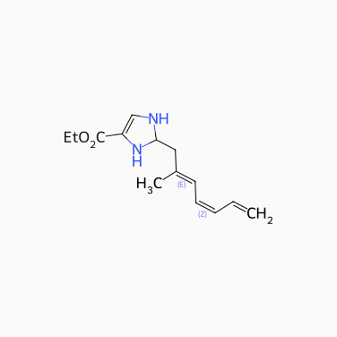 C=C/C=C\C=C(/C)CC1NC=C(C(=O)OCC)N1